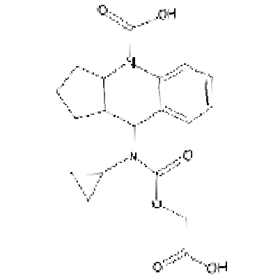 O=C(O)COC(=O)N(C1CC1)C1c2ccccc2N(C(=O)O)C2CCCC21